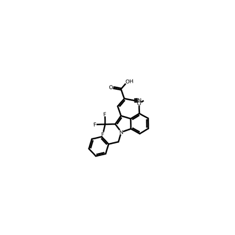 COc1cccc2c1c(C=C(C#N)C(=O)O)c(C(F)(F)F)n2Cc1ccccc1